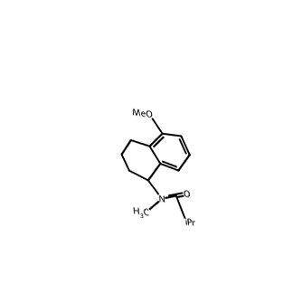 COc1cccc2c1CCCC2N(C)C(=O)C(C)C